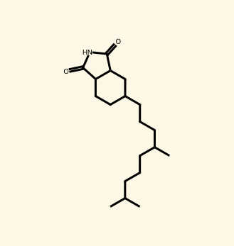 CC(C)CCCC(C)CCCC1CCC2C(=O)NC(=O)C2C1